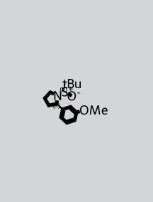 COc1cccc([C@H]2CCCN2[S@@+]([O-])C(C)(C)C)c1